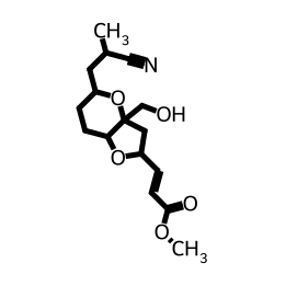 COC(=O)/C=C/C1CC2(CO)OC(CC(C)C#N)CCC2O1